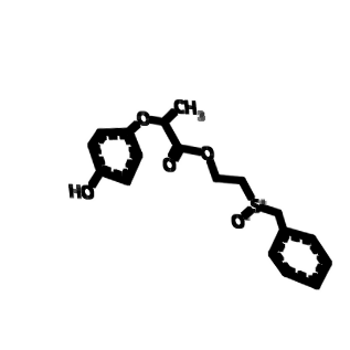 CC(Oc1ccc(O)cc1)C(=O)OCC[S+]([O-])Cc1ccccc1